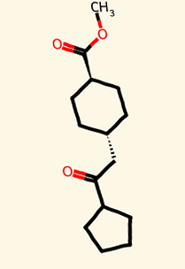 COC(=O)[C@H]1CC[C@H](CC(=O)C2CCCC2)CC1